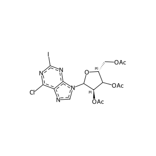 CC(=O)OC[C@H]1OC(n2cnc3c(Cl)nc(I)nc32)[C@H](OC(C)=O)C1OC(C)=O